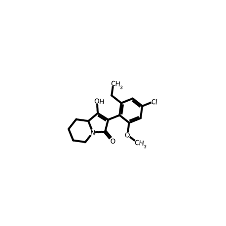 CCc1cc(Cl)cc(OC)c1C1=C(O)C2CCCCN2C1=O